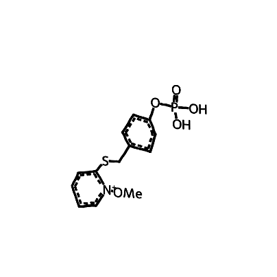 CO[n+]1ccccc1SCc1ccc(OP(=O)(O)O)cc1